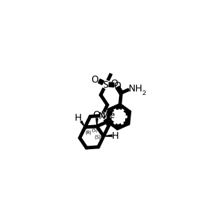 CO[C@]1(c2cccc(C(N)=O)c2)[C@@H]2CCC[C@H]1CN(CCS(C)(=O)=O)C2